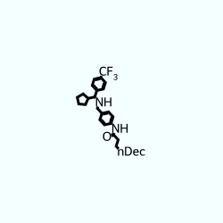 CCCCCCCCCCCCC(=O)Nc1ccc(CNC(c2ccc(C(F)(F)F)cc2)C2CCCC2)cc1